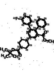 COC(=O)c1cc(N2CCN(C(=O)OC(C)(C)C)CC2)nc(-c2ccnc(F)c2)c1-c1ccccc1